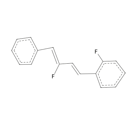 FC(C=Cc1ccccc1F)=Cc1ccccc1